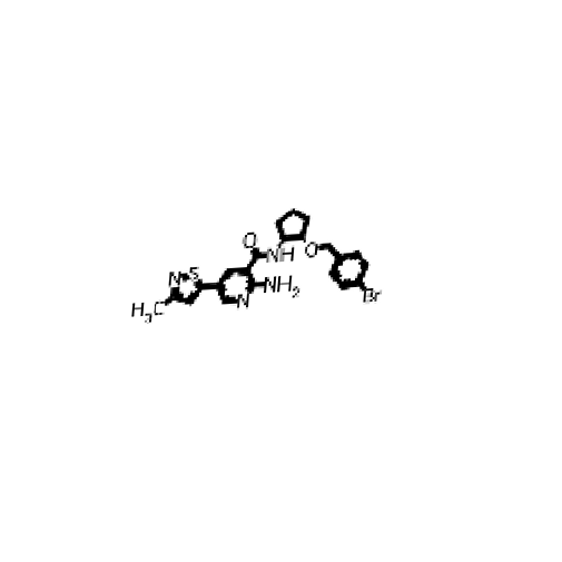 Cc1cc(-c2cnc(N)c(C(=O)N[C@H]3CCC[C@@H]3OCc3ccc(Br)cc3)c2)sn1